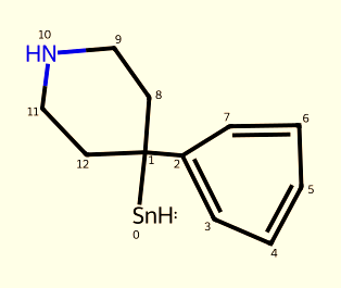 [SnH][C]1(c2ccccc2)CCNCC1